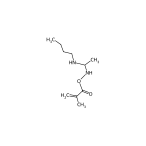 C=C(C)C(=O)ONC(C)NCCCC